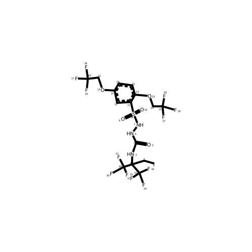 CCC(NC(=O)NNS(=O)(=O)c1cc(OCC(F)(F)F)ccc1OCC(F)(F)F)(C(F)(F)F)C(F)(F)F